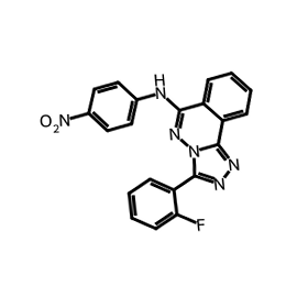 O=[N+]([O-])c1ccc(Nc2nn3c(-c4ccccc4F)nnc3c3ccccc23)cc1